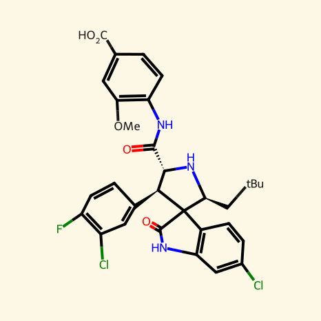 COc1cc(C(=O)O)ccc1NC(=O)[C@@H]1N[C@@H](CC(C)(C)C)C2(C(=O)Nc3cc(Cl)ccc32)[C@H]1c1ccc(F)c(Cl)c1